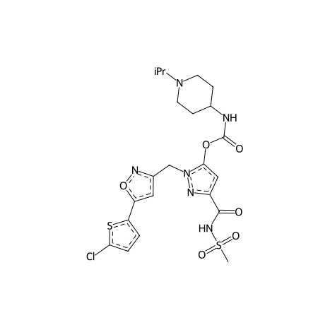 CC(C)N1CCC(NC(=O)Oc2cc(C(=O)NS(C)(=O)=O)nn2Cc2cc(-c3ccc(Cl)s3)on2)CC1